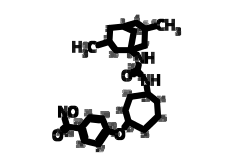 CC1CC2CC(C)CC(NC(=O)NC3CCCC(Oc4ccc(C(=O)N=O)cc4)CC3)(C1)C2